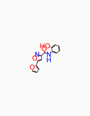 O=C(Nc1ccccc1O)c1cc(-c2ccco2)on1